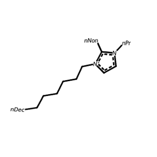 CCCCCCCCCCCCCCCC[n+]1ccn(CCC)c1CCCCCCCCC